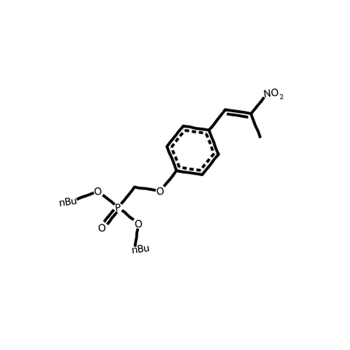 CCCCOP(=O)(COc1ccc(C=C(C)[N+](=O)[O-])cc1)OCCCC